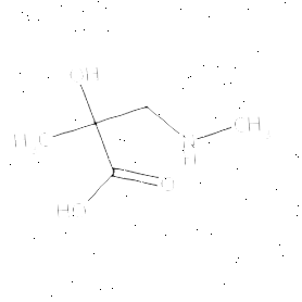 CNCC(C)(O)C(=O)O